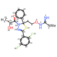 CNC(=N)NOCCC1(c2ccccc2)SC(c2cc(F)ccc2F)=NN1C(=O)[C@H](C)O